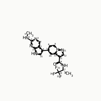 CNc1ncc2c(-c3ccn4ncc(C(=O)N[C@H](C)C(F)(F)F)c4c3)c[nH]c2n1